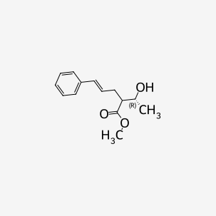 COC(=O)C(CC=Cc1ccccc1)[C@@H](C)O